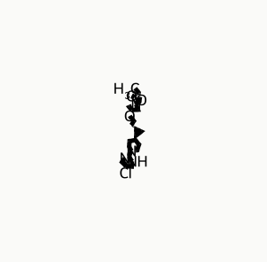 CCS(=O)(=O)N1CC(OCC[C@@H]2C[C@@H]2C2CCN(C3=NC=C(Cl)CN3)CC2)C1